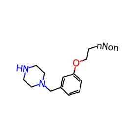 CCCCCCCCCCCOc1cccc(CN2CCNCC2)c1